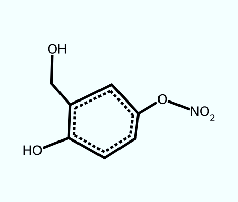 O=[N+]([O-])Oc1ccc(O)c(CO)c1